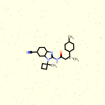 CC1CCC([C@H](C)CC(=O)NC2=NC3CCC(C#N)CC3N2C2(C)CCC2)CC1